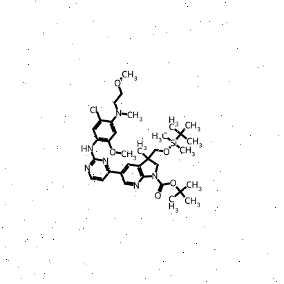 COCCN(C)c1cc(OC)c(Nc2nccc(-c3cnc4c(c3)C(C)(CO[Si](C)(C)C(C)(C)C)CN4C(=O)OC(C)(C)C)n2)cc1Cl